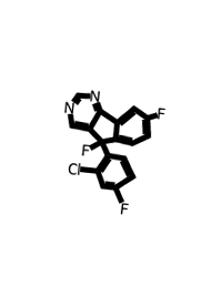 Fc1ccc(C2(F)c3ccc(F)cc3-c3ncncc32)c(Cl)c1